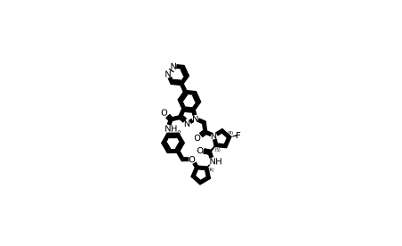 NC(=O)c1nn(CC(=O)N2C[C@H](F)C[C@H]2C(=O)N[C@@H]2CCCC2OCc2ccccc2)c2ccc(-c3ccnnc3)cc12